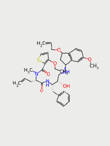 C=CCO[C@@H]1C[C@H](NC[C@H](O)[C@H](Cc2ccccc2)NC(=O)[C@H](CC=C)N(C)C(=O)c2sccc2OCC)c2cc(OC)ccc21